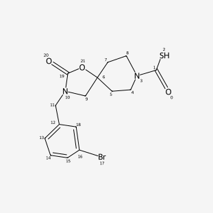 O=C(S)N1CCC2(CC1)CN(Cc1cccc(Br)c1)C(=O)O2